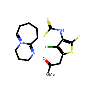 C1=[N+]2CCCN=C2CCCC1.COC(=O)Cc1sc(F)c(NC(=S)[S-])c1Cl